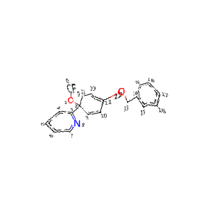 FC(F)(F)OC1(c2ccccn2)C=CC(OCc2ccccc2)=CC1